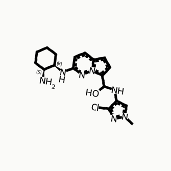 Cn1cc(NC(O)c2ccc3ccc(N[C@@H]4CCCC[C@@H]4N)nn23)c(Cl)n1